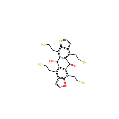 O=C1c2c(c(CCS)c3sccc3c2CCS)C(=O)c2c1c(CCS)c1occc1c2CCS